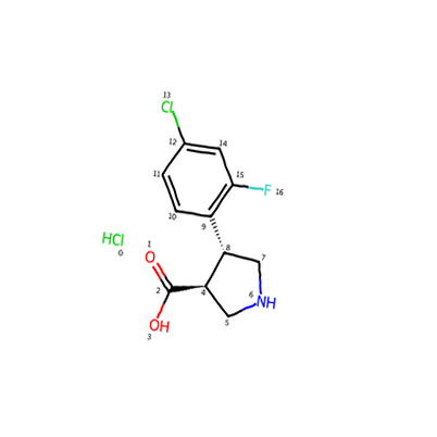 Cl.O=C(O)[C@@H]1CNC[C@H]1c1ccc(Cl)cc1F